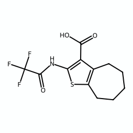 O=C(O)c1c(NC(=O)C(F)(F)F)sc2c1CCCCC2